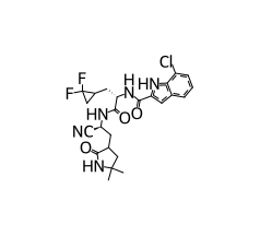 CC1(C)CC(C[C@@H](C#N)NC(=O)[C@H](CC2CC2(F)F)NC(=O)c2cc3cccc(Cl)c3[nH]2)C(=O)N1